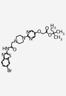 CC(C)(C)OC(=O)COc1cnc(N2CCN(CC(=O)Nc3nc4ccc(Br)cc4s3)CC2)nc1